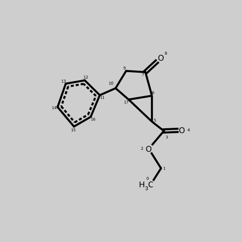 CCOC(=O)C1C2C(=O)CC(c3ccccc3)C21